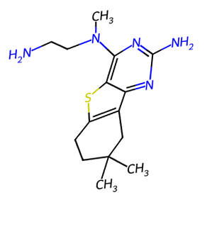 CN(CCN)c1nc(N)nc2c3c(sc12)CCC(C)(C)C3